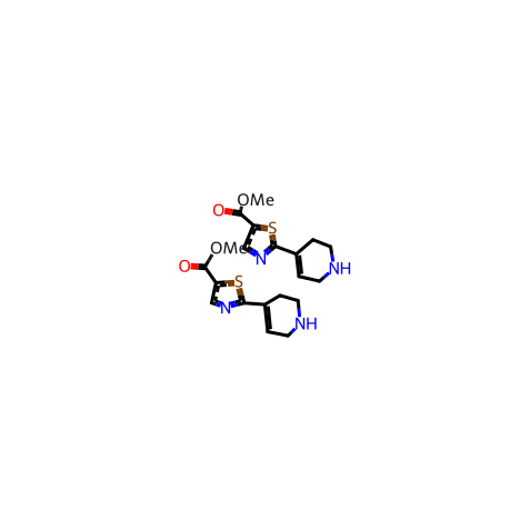 COC(=O)c1cnc(C2=CCNCC2)s1.COC(=O)c1cnc(C2=CCNCC2)s1